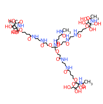 CNC(=O)CCCC(=O)NC(COCCC(=O)NCCCNC(=O)CCCCO[C@@H]1OC(CO)[C@H](O)C(O)[C@@H]1NC(C)=O)(COCCC(=O)NCCCNC(=O)CCCCO[C@H](O)[C@@]1(NC(C)=O)C(O)[C@@H](O)C1CO)COCCC(=O)NCCCNC(=O)CCCCO[C@H](O)[C@](CO)(NC(C)=O)C(CO)CO